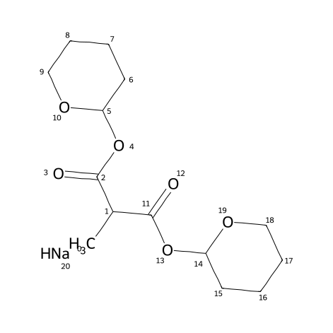 CC(C(=O)OC1CCCCO1)C(=O)OC1CCCCO1.[NaH]